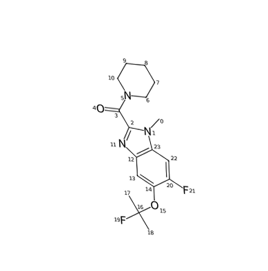 Cn1c(C(=O)N2CCCCC2)nc2cc(OC(C)(C)F)c(F)cc21